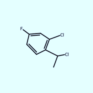 CC(Cl)c1ccc(F)cc1Cl